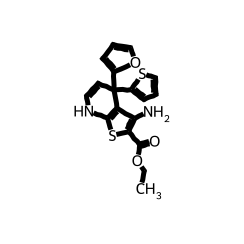 CCOC(=O)c1sc2c(c1N)C(c1ccco1)(c1cccs1)C=CN2